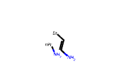 CCC=CN.CCCN